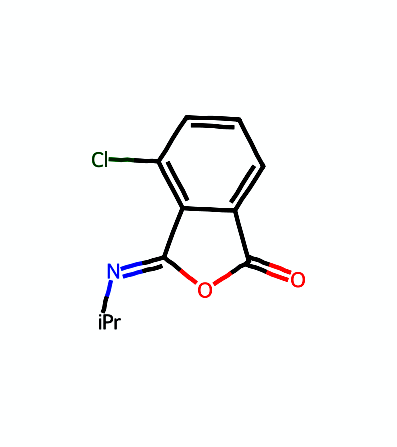 CC(C)N=C1OC(=O)c2cccc(Cl)c21